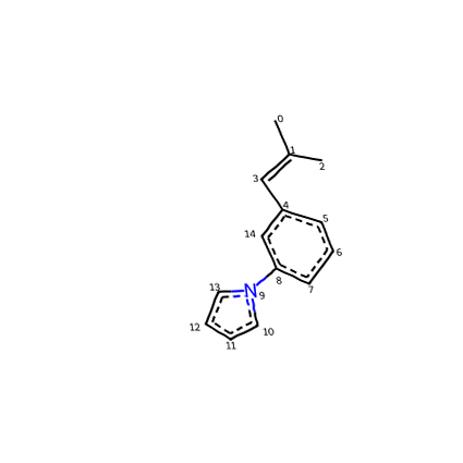 CC(C)=Cc1cccc(-n2cccc2)c1